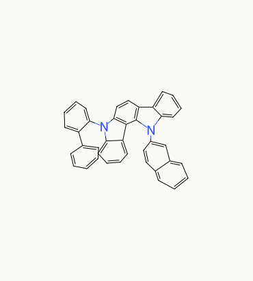 c1ccc(-c2ccccc2-n2c3ccccc3c3c2ccc2c4ccccc4n(-c4ccc5ccccc5c4)c23)cc1